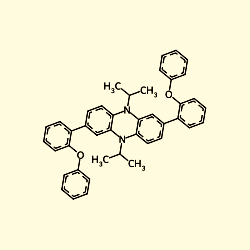 CC(C)N1c2ccc(-c3ccccc3Oc3ccccc3)cc2N(C(C)C)c2ccc(-c3ccccc3Oc3ccccc3)cc21